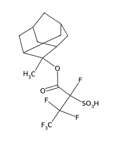 CC1(OC(=O)C(F)(C(F)(F)C(F)(F)F)S(=O)(=O)O)C2CC3CC(C2)CC1C3